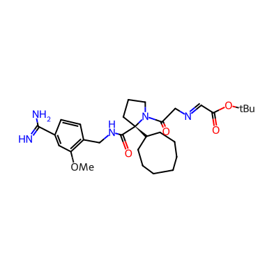 COc1cc(C(=N)N)ccc1CNC(=O)[C@]1(C2CCCCCCC2)CCCN1C(=O)CN=CC(=O)OC(C)(C)C